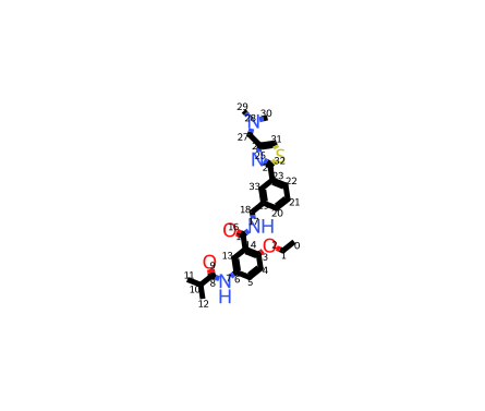 CCOc1ccc(NC(=O)C(C)C)cc1C(=O)NCc1cccc(-c2nc(CN(C)C)cs2)c1